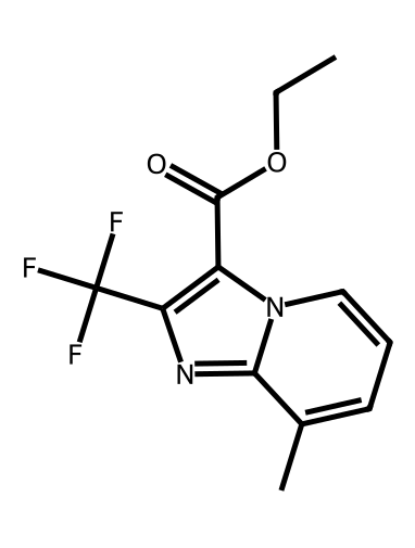 CCOC(=O)c1c(C(F)(F)F)nc2c(C)cccn12